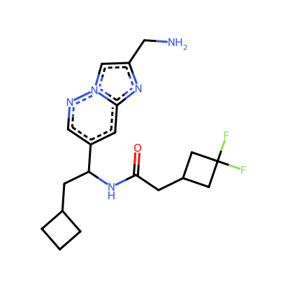 NCc1cn2ncc(C(CC3CCC3)NC(=O)CC3CC(F)(F)C3)cc2n1